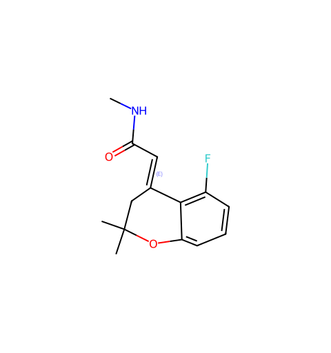 CNC(=O)/C=C1\CC(C)(C)Oc2cccc(F)c21